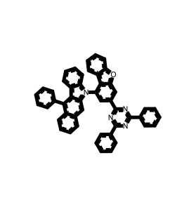 c1ccc(-c2nc(-c3ccccc3)nc(-c3cc(-n4c5ccccc5c5c(-c6ccccc6)c6ccccc6cc54)c4c(c3)oc3ccccc34)n2)cc1